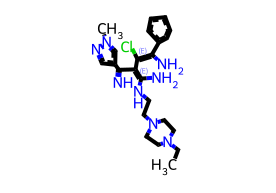 CCN1CCN(CCN/C(N)=C(C(=N)c2cnn(C)c2)/C(Cl)=C(\N)c2ccccc2)CC1